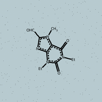 CCn1c(=O)c2c(nc(C=O)n2C)n(CC)c1=O